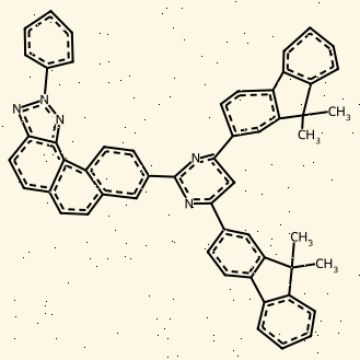 CC1(C)c2ccccc2-c2ccc(-c3cc(-c4ccc5c(c4)C(C)(C)c4ccccc4-5)nc(-c4ccc5c(ccc6ccc7nn(-c8ccccc8)nc7c65)c4)n3)cc21